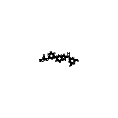 Cc1cc(Nc2cc3cc(-c4ccnc(OC(C)C#N)c4)ccn3n2)nc(C)n1